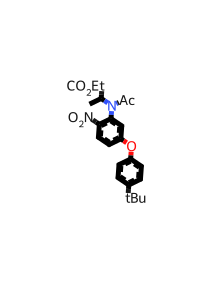 CCOC(=O)C(C)N(C(C)=O)c1cc(Oc2ccc(C(C)(C)C)cc2)ccc1[N+](=O)[O-]